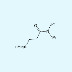 CCCCCCCCCC(=O)N(C(C)C)C(C)C